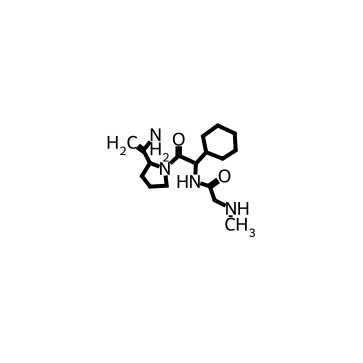 C=C(N)C1CCCN1C(=O)C(NC(=O)CNC)C1CCCCC1